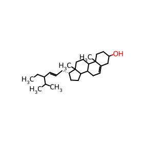 CCC(/C=C/C[C@H]1CCC2C3CC=C4CC(O)CCC4(C)C3CCC21C)C(C)C